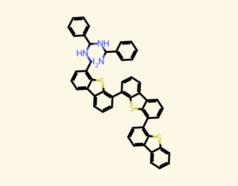 NC(NC(NCc1cccc2c1sc1c(-c3cccc4c3sc3c(-c5cccc6c5sc5ccccc56)cccc34)cccc12)c1ccccc1)c1ccccc1